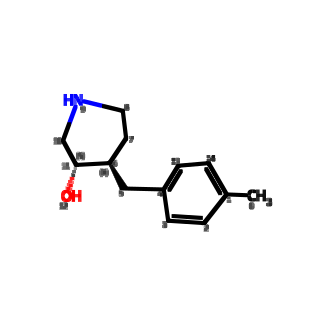 Cc1ccc(C[C@@H]2CCNC[C@H]2O)cc1